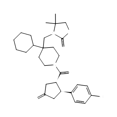 CC1(C)COC(=O)N1CC1(C2CCCCC2)CCN(C(=O)[C@@H]2CC(=O)C[C@@H]2c2ccc(Cl)cc2)CC1